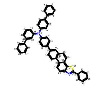 c1ccc(-c2ccc(N(c3ccc(-c4ccc5c(ccc6c5ccc5nc(-c7ccccc7)sc56)c4)cc3)c3cccc(-c4ccccc4)c3)cc2)cc1